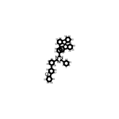 c1ccc(-c2nc(-c3ccc(-c4cccc5c4C4(c6ccccc6-c6ccccc64)c4ccccc4-5)cc3)nc(-c3cccc(-c4ccc5c(c4)oc4ccccc45)c3)n2)cc1